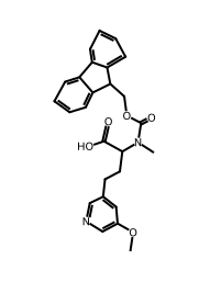 COc1cncc(CCC(C(=O)O)N(C)C(=O)OCC2c3ccccc3-c3ccccc32)c1